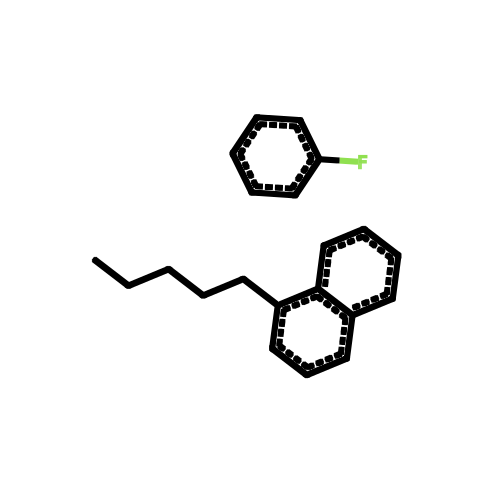 CCCCCc1cccc2ccccc12.Fc1ccccc1